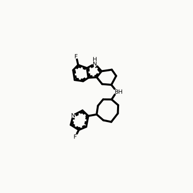 Fc1cncc(C2CCCCC(BC3CCc4[nH]c5c(F)cccc5c4C3)CC2)c1